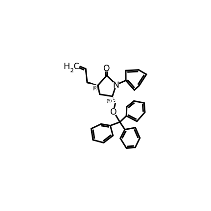 C=CC[C@@H]1C[C@@H](COC(c2ccccc2)(c2ccccc2)c2ccccc2)N(c2ccccc2)C1=O